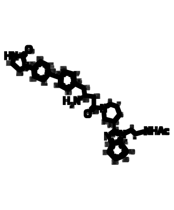 CC(=O)NCCn1c([C@@H]2CCCN(C(=O)C[C@H](N)Cc3ccc(-c4ccc(N5CCNC5=O)cc4)cc3)C2)nc2ccccc21